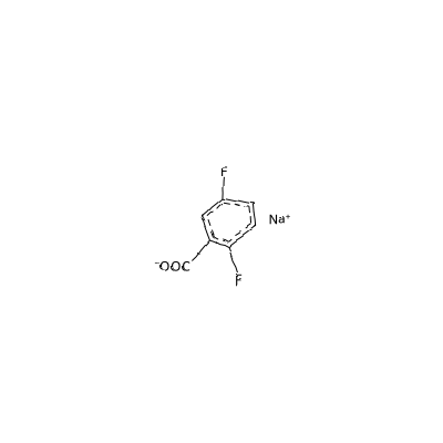 O=C([O-])c1cc(F)ccc1F.[Na+]